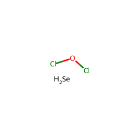 ClOCl.[SeH2]